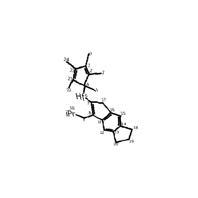 CC1=C(C)[C](C)([Hf][C]2=C(CC(C)C)c3cc4c(cc3C2)CCC4)C(C)=C1C